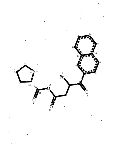 O=C(CC(Br)C(=O)c1ccc2ccccc2c1)OC(=O)[C@@H]1CCCN1